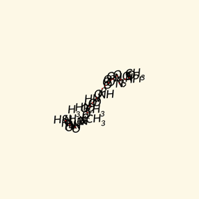 CC(C)N(CCc1c2c(nc3ccccc13)-c1cc3c(c(=O)n1C2)COC(=O)[C@H]3OC(=O)OCc1ccc(NC(=O)CNC(=O)COCC(=O)NC(C)(C)CCOCC(C)(C)Cn2cc(CNC(=O)c3coc(-c4cnc(S)nc4)n3)nn2)cc1)S(C)(=O)=O